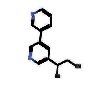 CCC(CC#N)c1cncc(-c2cccnc2)c1